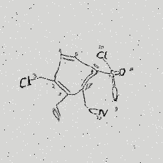 Cc1c(Cl)ccc(S(=O)(=O)Cl)c1C#N